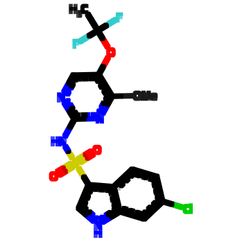 COc1nc(NS(=O)(=O)c2c[nH]c3cc(Cl)ccc23)ncc1OC(C)(F)F